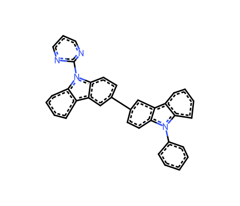 c1ccc(-n2c3ccccc3c3cc(-c4ccc5c(c4)c4ccccc4n5-c4ncccn4)ccc32)cc1